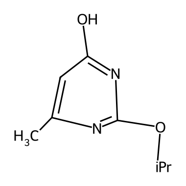 Cc1cc(O)nc(OC(C)C)n1